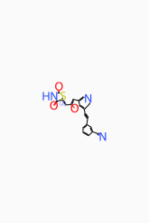 N#Cc1cccc(C#Cc2cncc3cc(/C=C4\SC(=O)NC4=O)oc23)c1